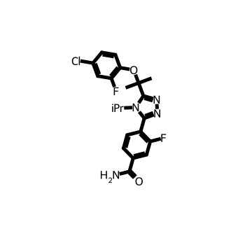 CC(C)n1c(-c2ccc(C(N)=O)cc2F)nnc1C(C)(C)Oc1ccc(Cl)cc1F